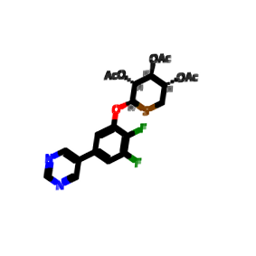 CC(=O)O[C@@H]1[C@@H](OC(C)=O)[C@H](OC(C)=O)CS[C@H]1Oc1cc(-c2cncnc2)cc(F)c1F